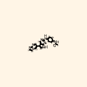 CC(=O)NC1CCC(Nc2ncc3c(-c4cnc5nccn5c4)c[nH]c3n2)CC1